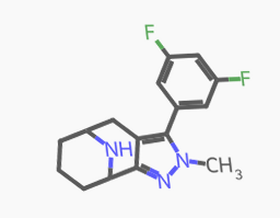 Cn1nc2c(c1-c1cc(F)cc(F)c1)CC1CCCC2N1